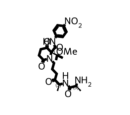 COC(C)(C)[C@]1(C(=O)Nc2ccc([N+](=O)[O-])cc2)C(=O)CCC(=O)N1CCCC(=O)[C@H](C)NC(=O)[C@H](C)N